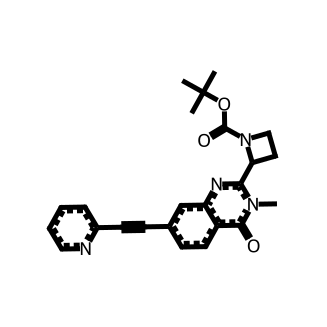 Cn1c(C2CCN2C(=O)OC(C)(C)C)nc2cc(C#Cc3ccccn3)ccc2c1=O